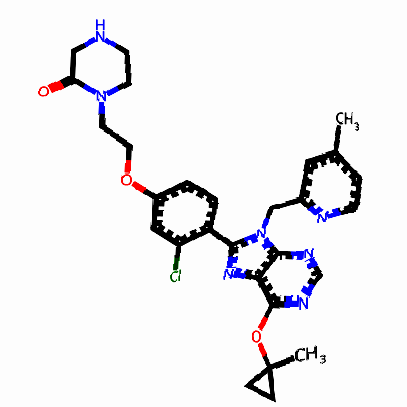 Cc1ccnc(Cn2c(-c3ccc(OCCN4CCNCC4=O)cc3Cl)nc3c(OC4(C)CC4)ncnc32)c1